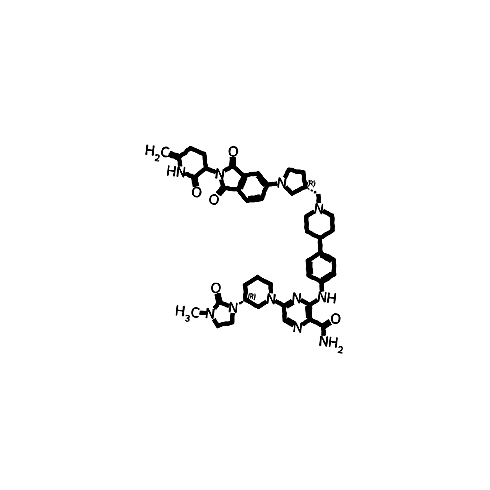 C=C1CCC(N2C(=O)c3ccc(N4CC[C@H](CN5CCC(c6ccc(Nc7nc(N8CCC[C@@H](N9CCN(C)C9=O)C8)cnc7C(N)=O)cc6)CC5)C4)cc3C2=O)C(=O)N1